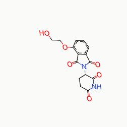 O=C1CC[C@H](N2C(=O)c3cccc(OCCO)c3C2=O)C(=O)N1